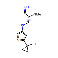 CN/C(C=N)=C/Nc1csc(C2(C)CC2)c1